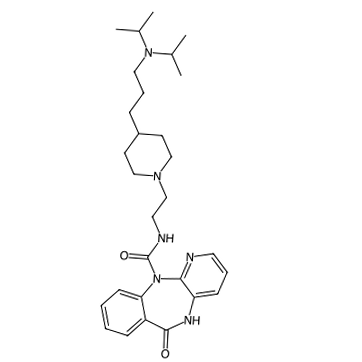 CC(C)N(CCCC1CCN(CCNC(=O)N2c3ccccc3C(=O)Nc3cccnc32)CC1)C(C)C